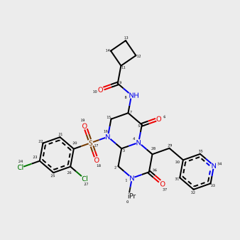 CC(C)N1CC2N(C(=O)C(NC(=O)C3CCC3)CN2S(=O)(=O)c2ccc(Cl)cc2Cl)C(Cc2cccnc2)C1=O